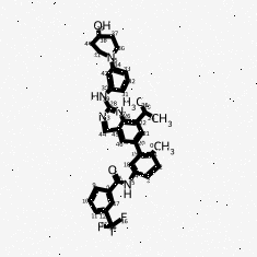 Cc1ccc(NC(=O)c2cccc(C(F)(F)F)c2)cc1-c1cc(C(C)C)c2nc(Nc3cccc(N4CCC(O)CC4)c3)ncc2c1